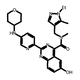 CCn1ncc(CN(C)C(=O)c2nc(-c3ccc(NC4CCOCC4)cn3)nc3ccc(O)cc23)c1C